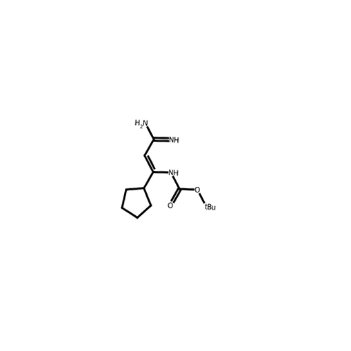 CC(C)(C)OC(=O)N/C(=C\C(=N)N)C1CCCC1